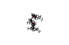 Cc1nc2cncc(C#Cc3cncc(C(=O)Nc4ccc(CN5CCNC(C)(C)C5)c(C(F)(F)F)c4)c3)c2nc1C